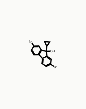 OC1(C2CC2)c2cc(Br)ccc2-c2ccc(Br)cc21